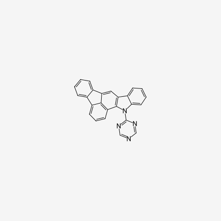 c1ccc2c(c1)-c1cccc3c1c-2cc1c2ccccc2n(-c2ncncn2)c31